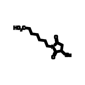 CCC(C)C1CC(=O)N(CCCCCCC(=O)O)C1=O